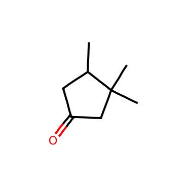 CC1CC(=O)CC1(C)C